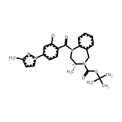 Cc1ccn(-c2ccc(C(=O)N3C[C@@H](C)N(C(=O)OC(C)(C)C)Cc4ccccc43)c(Cl)c2)n1